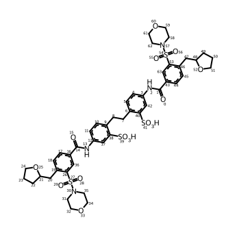 O=C(Nc1ccc(CCc2ccc(NC(=O)c3ccc(CC4CCCO4)c(S(=O)(=O)N4CCOCC4)c3)cc2S(=O)(=O)O)c(S(=O)(=O)O)c1)c1ccc(CC2CCCO2)c(S(=O)(=O)N2CCOCC2)c1